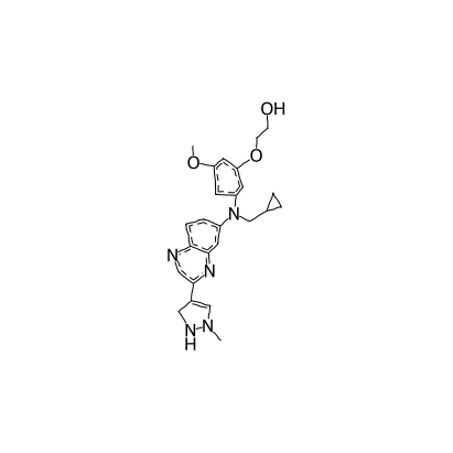 COc1cc(OCCO)cc(N(CC2CC2)c2ccc3ncc(C4=CN(C)NC4)nc3c2)c1